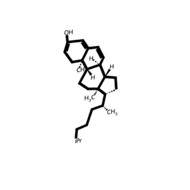 CC(C)CCC[C@@H](C)[C@H]1CC[C@H]2[C@@H]3C=CC4=CC(O)=CC[C@]4(C)[C@H]3CC[C@]12C